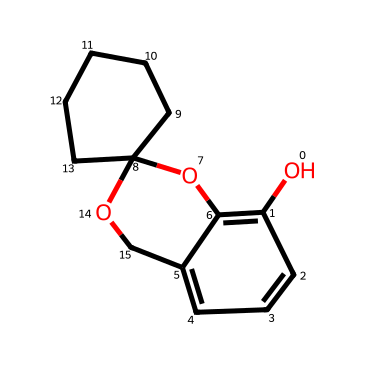 Oc1cccc2c1OC1(CCCCC1)OC2